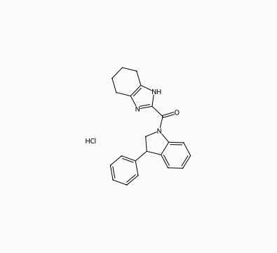 Cl.O=C(c1nc2c([nH]1)CCCC2)N1CC(c2ccccc2)c2ccccc21